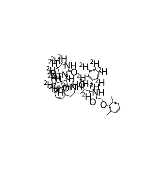 [2H]c1c([2H])c([2H])c(C([2H])([2H])[C@]([2H])(NC(=O)COc2c(C)cccc2C)[C@@H](O)C[C@H](Cc2ccccc2)NC(=O)[C@@]([2H])(N2C(=O)NC([2H])([2H])C([2H])([2H])C2([2H])[2H])C([2H])(C([2H])([2H])[2H])C([2H])([2H])[2H])c([2H])c1[2H]